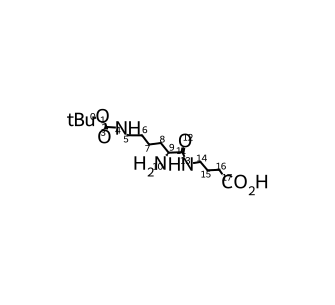 CC(C)(C)OC(=O)NCCCC[C@H](N)C(=O)NCCCC(=O)O